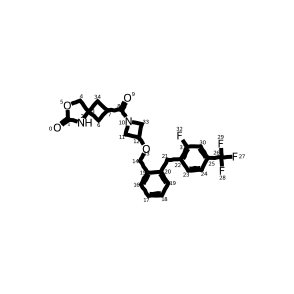 O=C1NC2(CO1)CC(C(=O)N1CC(OCc3ccccc3Cc3ccc(C(F)(F)F)cc3F)C1)C2